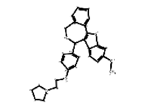 COc1ccc2c3c(sc2c1)-c1ccccc1COC3c1ccc(OCCN2CCCC2)cc1